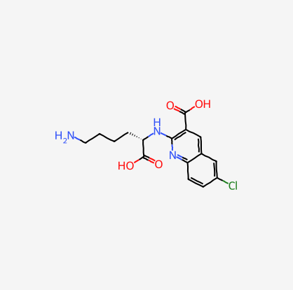 NCCCC[C@H](Nc1nc2ccc(Cl)cc2cc1C(=O)O)C(=O)O